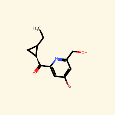 CCC1C[C@@H]1C(=O)c1cc(Br)cc(CO)n1